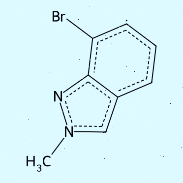 Cn1cc2cc[c]c(Br)c2n1